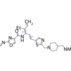 C=C/C(CC)=C(\C=C\c1cnc(CN2CCC(CNC)CC2)s1)NC(=O)c1coc(N)n1